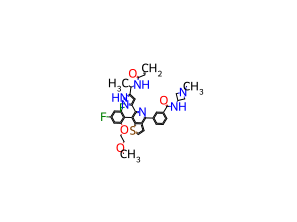 C=CC(=O)NC(C)c1cc(-c2nc(-c3cccc(C(=O)NC4CN(C)C4)c3)c3ccsc3c2-c2c(F)cc(F)cc2OCCOC)n[nH]1